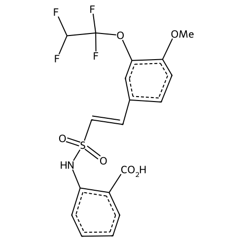 COc1ccc(/C=C/S(=O)(=O)Nc2ccccc2C(=O)O)cc1OC(F)(F)C(F)F